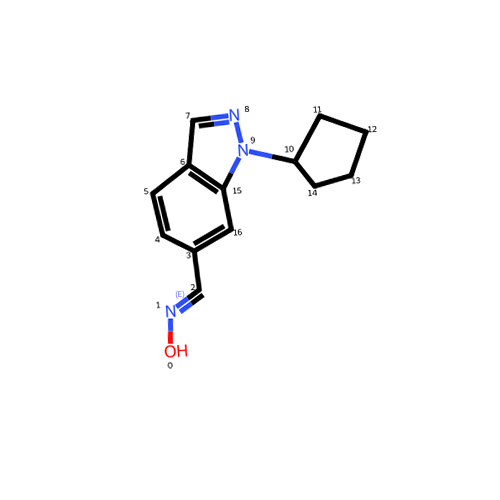 O/N=C/c1ccc2cnn(C3CCCC3)c2c1